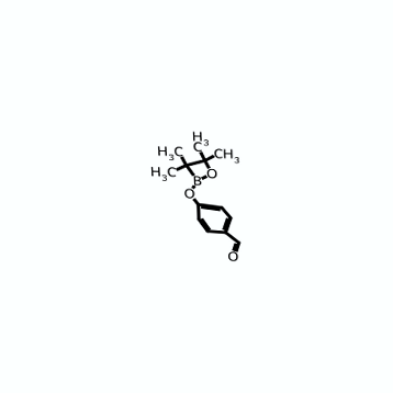 CC1(C)OB(Oc2ccc(C=O)cc2)C1(C)C